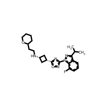 CC(C)c1nn(-c2noc([C@H]3C[C@@H](NCCC4CCCCO4)C3)n2)c2c(F)cccc12